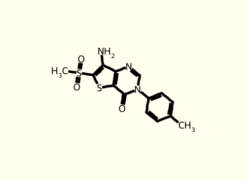 Cc1ccc(-n2cnc3c(N)c(S(C)(=O)=O)sc3c2=O)cc1